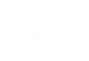 C=CN(CCCCCC(=C)F)C(=C)C(C)CC